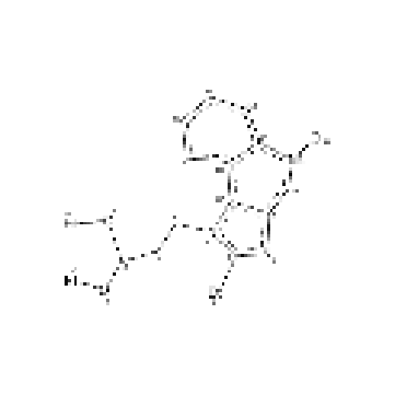 CCOC(CCn1c(CC)nc2c[n+]([O-])c3ccccc3c21)OCC